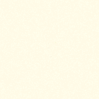 OC[C@@H](F)CNCc1ccccc1